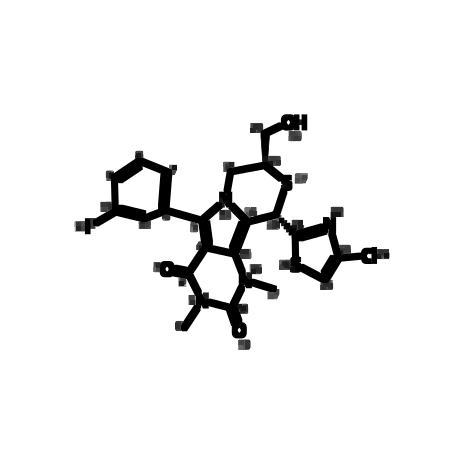 Cn1c(=O)c2c(-c3cccc(F)c3)n3c(c2n(C)c1=O)[C@@H](c1nc(Cl)cs1)S[C@H](CO)C3